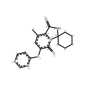 Cc1cc(Sc2ccncn2)c(=O)n2c1C(=O)NC21CCCCC1